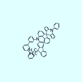 CC1(C)c2ccccc2-c2ccc(N(c3cccc(-c4cccc(-c5ccccc5)c4)c3)c3cccc4c3-c3ccccc3C43c4ccccc4N(c4ccccc4)c4ccccc43)cc21